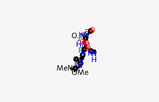 CNCc1ccc(CN2CCN(C3CC4(CCN(c5cc(Oc6cnc7[nH]ccc7c6)c(C(=O)NS(=O)(=O)c6ccc(NCC7(F)CCOCC7)c([N+](=O)[O-])c6)cc5F)CC4)C3)C(c3ccccc3C(C)C)C2)cc1OC